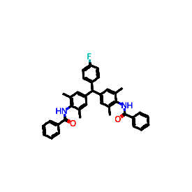 Cc1cc(C(c2ccc(F)cc2)c2cc(C)c(NC(=O)c3ccccc3)c(C)c2)cc(C)c1NC(=O)c1ccccc1